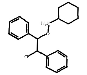 ClC(c1ccccc1)C(O[SiH2]C1CCCCC1)c1ccccc1